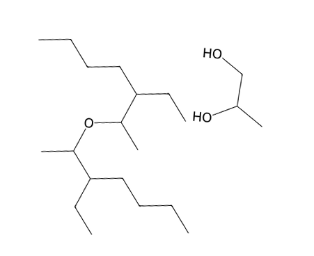 CC(O)CO.CCCCC(CC)C(C)OC(C)C(CC)CCCC